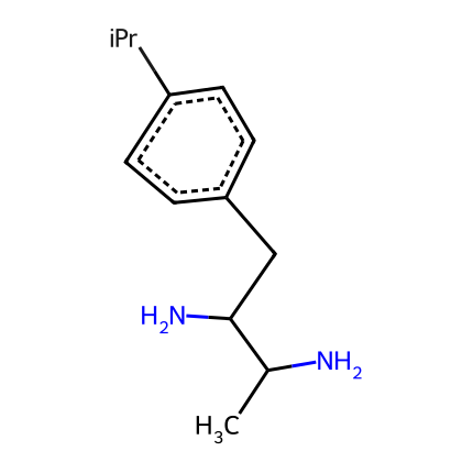 CC(C)c1ccc(CC(N)C(C)N)cc1